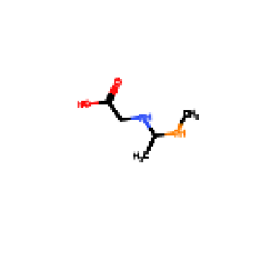 CPC(C)NCC(=O)O